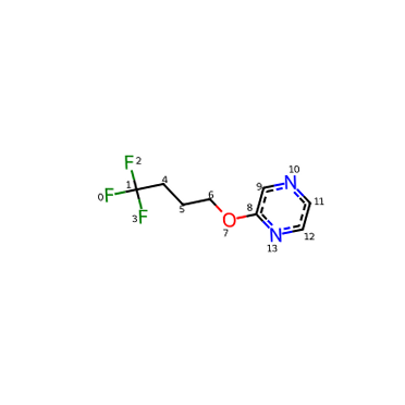 FC(F)(F)CCCOc1cnccn1